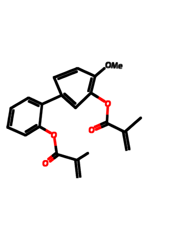 C=C(C)C(=O)Oc1cc(-c2ccccc2OC(=O)C(=C)C)ccc1OC